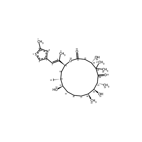 C/C(=C\c1csc(C)n1)[C@@H]1C[C@@H](I)[C@H](O)CCC[C@H](C)[C@H](O)[C@@H](C)C(=O)C(C)(C)[C@@H](O)CC(=O)O1